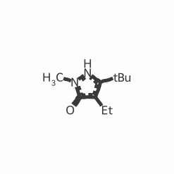 CCc1c(C(C)(C)C)[nH]n(C)c1=O